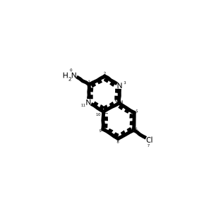 Nc1cnc2cc(Cl)ccc2n1